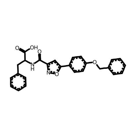 O=C(NC(Cc1ccccc1)C(=O)O)c1cc(-c2ccc(OCc3ccccc3)cc2)on1